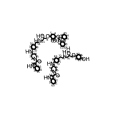 CC(C)(C)[Si](Oc1ccc(OC[C@@H](O)CNCCc2ccc(NC3CCN(C(=O)c4c[nH]c5ccccc45)CC3)cc2)cc1)(c1ccccc1)c1ccccc1.O=C(c1c[nH]c2ccccc12)N1CCC(Nc2ccc(CCNC[C@H](O)COc3ccc(O)cc3)cc2)CC1